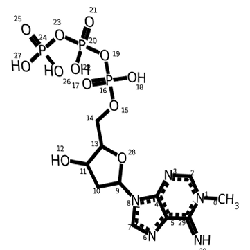 Cn1cnc2c(ncn2C2CC(O)C(COP(=O)(O)OP(=O)(O)OP(=O)(O)O)O2)c1=N